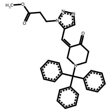 COC(=O)CCn1nncc1C=C1CN(C(c2ccccc2)(c2ccccc2)c2ccccc2)CCC1=O